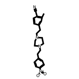 Cc1cc(CCN2CCN(CCc3ccc([N+](=O)[O-])cc3)CC2)ccc1C#N